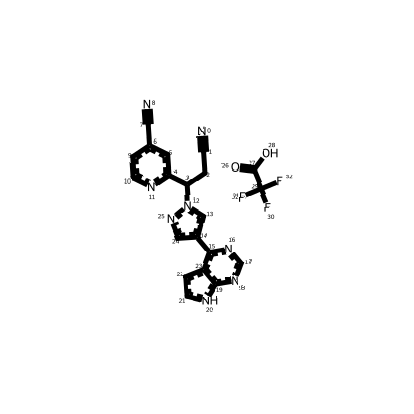 N#CCC(c1cc(C#N)ccn1)n1cc(-c2ncnc3[nH]ccc23)cn1.O=C(O)C(F)(F)F